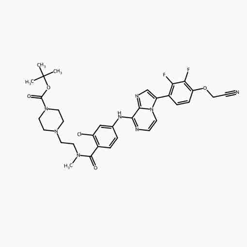 CN(CCN1CCN(C(=O)OC(C)(C)C)CC1)C(=O)c1ccc(Nc2nccn3c(-c4ccc(OCC#N)c(F)c4F)cnc23)cc1Cl